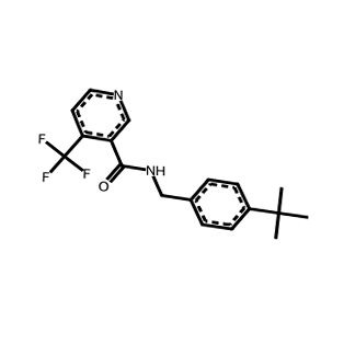 CC(C)(C)c1ccc(CNC(=O)c2cnccc2C(F)(F)F)cc1